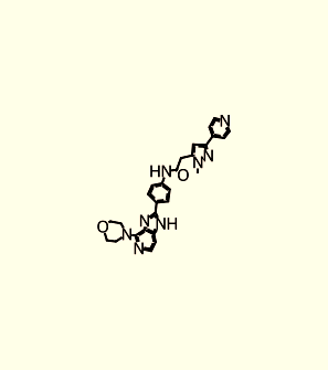 Cn1nc(-c2ccncc2)cc1CC(=O)Nc1ccc(-c2nc3c(N4CCOCC4)nccc3[nH]2)cc1